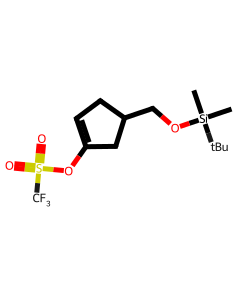 CC(C)(C)[Si](C)(C)OCC1CC=C(OS(=O)(=O)C(F)(F)F)C1